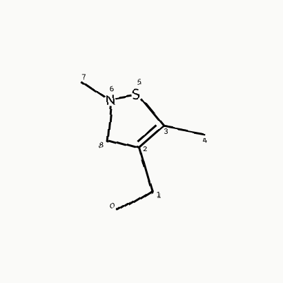 CCC1=C(C)SN(C)C1